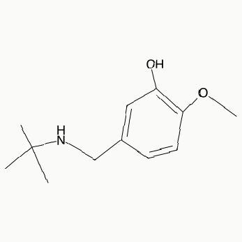 COc1ccc(CNC(C)(C)C)cc1O